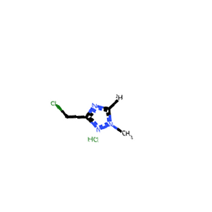 Cl.[2H]c1nc(CCl)nn1C